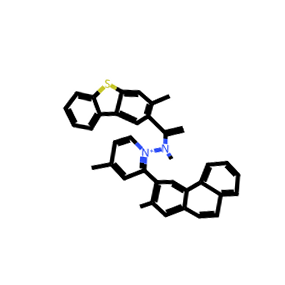 C=C(c1cc2c(cc1C)sc1ccccc12)N(C)[n+]1ccc(C)cc1-c1cc2c(ccc3ccccc32)cc1C